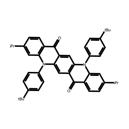 CC(C)c1ccc2c(=O)c3cc4c(cc3n(-c3ccc(C(C)(C)C)cc3)c2c1)c(=O)c1ccc(C(C)C)cc1n4-c1ccc(C(C)(C)C)cc1